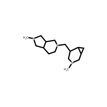 CN1CC2CCN(CC3CN(C)CC4CC43)CC2C1